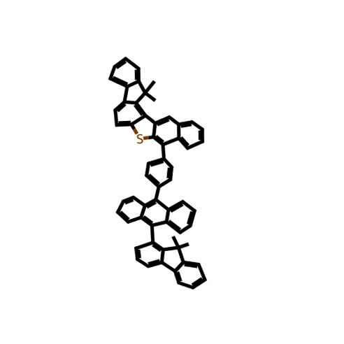 CC1(C)c2ccccc2-c2cccc(-c3c4ccccc4c(-c4ccc(-c5c6ccccc6cc6c5sc5ccc7c(c56)C(C)(C)c5ccccc5-7)cc4)c4ccccc34)c21